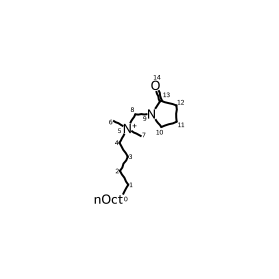 CCCCCCCCCCCC[N+](C)(C)CN1CCCC1=O